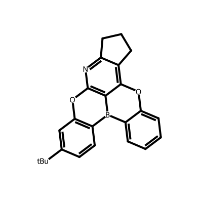 CC(C)(C)c1ccc2c(c1)Oc1nc3c(c4c1B2c1ccccc1O4)CCC3